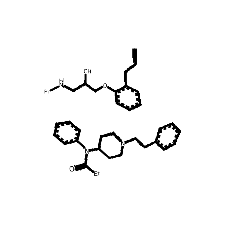 C=CCc1ccccc1OCC(O)CNC(C)C.CCC(=O)N(c1ccccc1)C1CCN(CCc2ccccc2)CC1